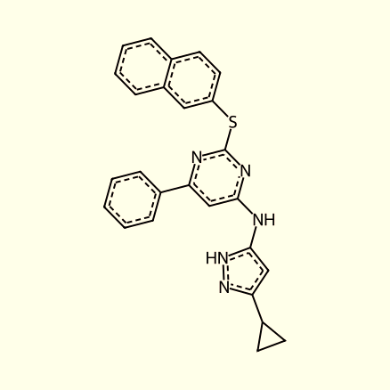 c1ccc(-c2cc(Nc3cc(C4CC4)n[nH]3)nc(Sc3ccc4ccccc4c3)n2)cc1